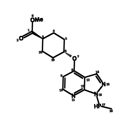 COC(=O)[C@H]1CC[C@H](Oc2ccnc3c2cnn3PC)CC1